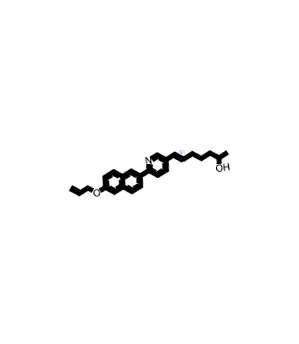 C=CCOc1ccc2cc(-c3ccc(/C=C/CCCC(C)O)cn3)ccc2c1